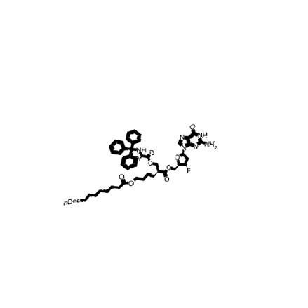 CCCCCCCCCCCCCCCCCC(=O)OCCCC[C@@H](COC(=O)[C@@H](NC(c1ccccc1)(c1ccccc1)c1ccccc1)C(C)C)C(=O)OC[C@H]1O[C@@H](n2cnc3c(=O)[nH]c(N)nc32)C[C@@H]1F